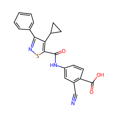 N#Cc1cc(NC(=O)c2snc(-c3ccccc3)c2C2CC2)ccc1C(=O)O